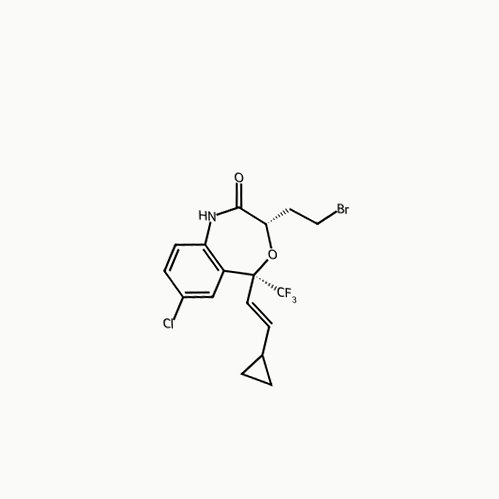 O=C1Nc2ccc(Cl)cc2[C@@](C=CC2CC2)(C(F)(F)F)O[C@H]1CCBr